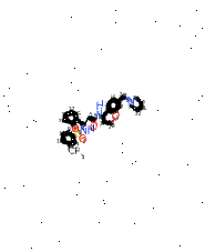 O=C(C[C@@H](NS(=O)(=O)c1cccc(C(F)(F)F)c1)c1ccccc1)N[C@@H]1CCOc2cc(CN3CCCCC3)ccc21